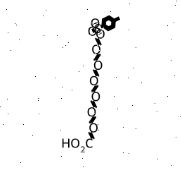 Cc1ccc(S(=O)(=O)OCCOCCOCCOCCOCCOCCOCCC(=O)O)cc1